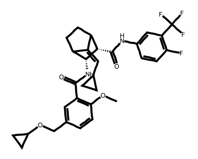 COc1ccc(COC2CC2)cc1C(=O)N[C@@H]1C2CCC(/C2=C/C2CC2)[C@@H]1C(=O)Nc1ccc(F)c(C(F)(F)F)c1